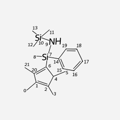 CC1=C(C)C(C)C([Si](C)(N[Si](C)(C)C)c2ccccc2)=C1C